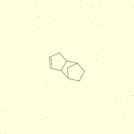 [CH]1CC2CC1C1C=CCC21